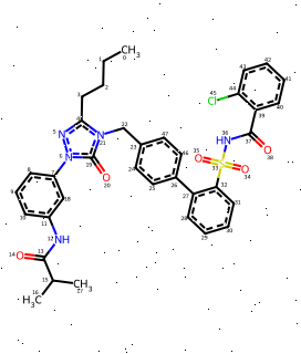 CCCCc1nn(-c2cccc(NC(=O)C(C)C)c2)c(=O)n1Cc1ccc(-c2ccccc2S(=O)(=O)NC(=O)c2ccccc2Cl)cc1